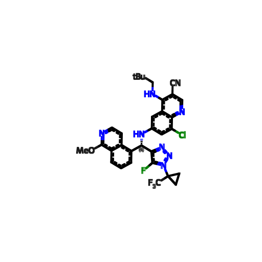 COc1nccc2c([C@H](Nc3cc(Cl)c4ncc(C#N)c(NCC(C)(C)C)c4c3)c3nnn(C4(C(F)(F)F)CC4)c3F)cccc12